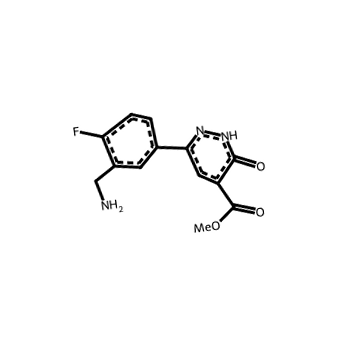 COC(=O)c1cc(-c2ccc(F)c(CN)c2)n[nH]c1=O